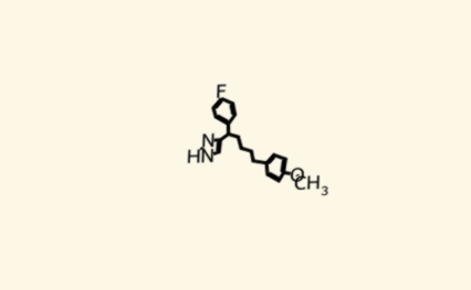 COc1ccc(CCCCC(c2ccc(F)cc2)c2c[nH]cn2)cc1